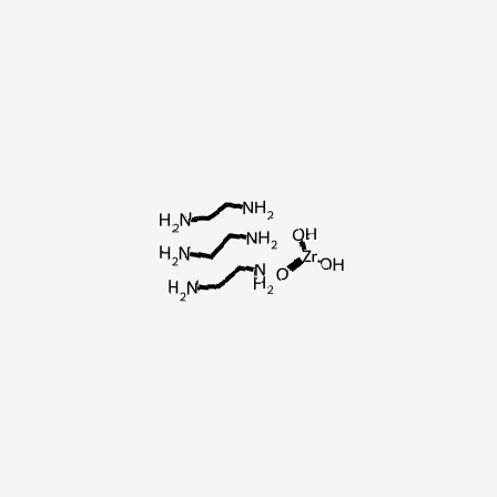 NCCN.NCCN.NCCN.[O]=[Zr]([OH])[OH]